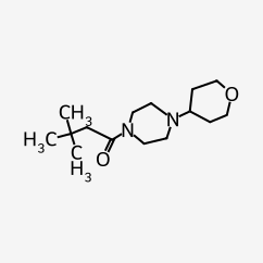 CC(C)(C)CC(=O)N1CCN(C2CCOCC2)CC1